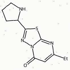 CCc1cc(=O)n2nc(C3CCCN3)sc2n1